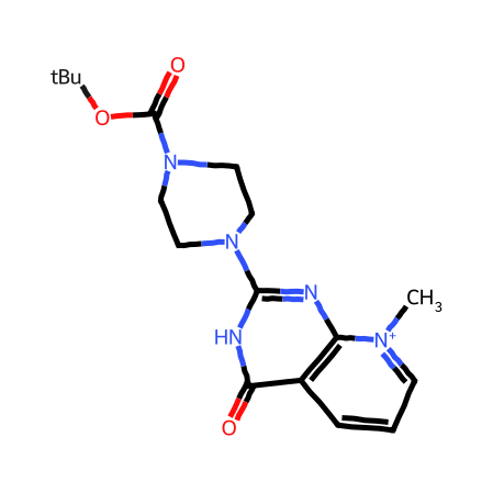 C[n+]1cccc2c(=O)[nH]c(N3CCN(C(=O)OC(C)(C)C)CC3)nc21